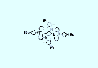 Cc1cc(C(C)C)cc(C)c1N1c2cc3c(cc2B2c4ccccc4N(c4ccc(C(C)(C)C)cc4)c4cccc1c42)N(c1c(C)cc(C(C)C)cc1C)c1cccc2c1B3c1ccccc1N2c1ccc(C(C)(C)C)cc1